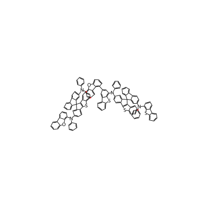 c1ccc(N(c2ccc3c(c2)C2(c4ccccc4-c4ccc(N(c5ccccc5)c5cccc6c5oc5cccc(-c7cc(N(c8ccccc8)c8ccc9c(c8)C8(c%10ccccc%10-c%10ccc(N(c%11ccccc%11)c%11cccc%12c%11sc%11ccccc%11%12)cc%108)c8c-9sc9ccccc89)c8sc9ccccc9c8c7)c56)cc42)c2c-3sc3ccccc23)c2cccc3c2oc2ccccc23)cc1